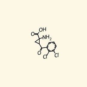 NC1(C(=O)O)CC1C(=O)c1cccc(Cl)c1Cl